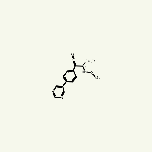 CCOC(=O)[C@@H](NOC(C)(C)C)C(=C=O)c1ccc(-c2cncnc2)cc1